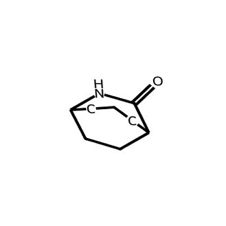 O=C1NC2CCCC1CC2